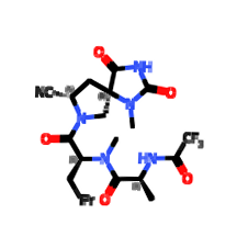 CC(C)C[C@@H](C(=O)N1C[C@]2(C[C@H]1C#N)C(=O)NC(=O)N2C)N(C)C(=O)[C@H](C)NC(=O)C(F)(F)F